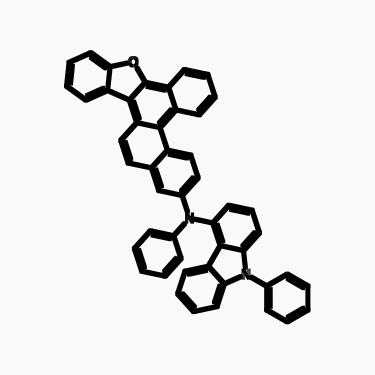 c1ccc(N(c2ccc3c(ccc4c3c3ccccc3c3oc5ccccc5c43)c2)c2cccc3c2c2ccccc2n3-c2ccccc2)cc1